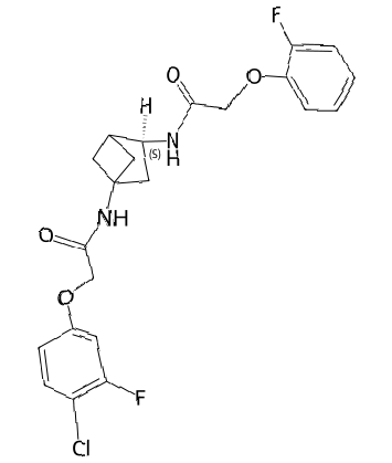 O=C(COc1ccccc1F)N[C@H]1CC2(NC(=O)COc3ccc(Cl)c(F)c3)CC1C2